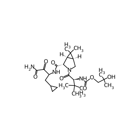 CC(C)(O)COC(=O)N[C@H](C(=O)N1C[C@H]2[C@@H]([C@H]1C(=O)NC(CC1CC1)C(=O)C(N)=O)C2(C)C)C(C)(C)C